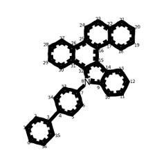 c1ccc(-c2ccc(-n3c4ccccc4c4c5c6ccccc6ccc5c5ccccc5c43)cc2)cc1